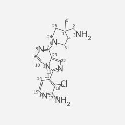 CC1(CN)CCN(c2nccn3c(-c4ccnc(N)c4Cl)ncc23)CC1